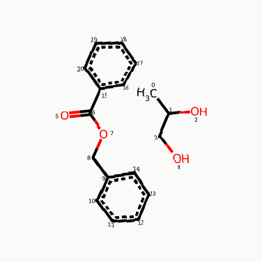 CC(O)CO.O=C(OCc1ccccc1)c1ccccc1